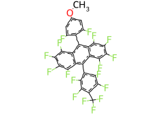 COc1cc(F)c(-c2c3c(F)c(F)c(F)c(F)c3c(-c3c(F)c(F)c(C(F)(F)F)c(F)c3F)c3c(F)c(F)c(F)c(F)c23)c(F)c1